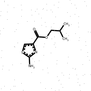 CC(C)COC(=O)c1csc(N)n1